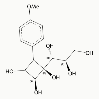 COc1ccc(C2C(O)[C@H](O)[C@@]2(O)[C@H](O)[C@H](O)CO)cc1